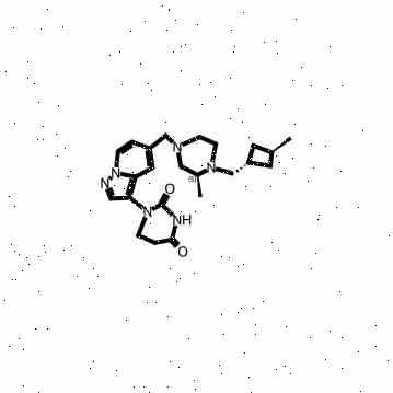 C[C@H]1CN(Cc2ccn3ncc(N4CCC(=O)NC4=O)c3c2)CCN1C[C@H]1C[C@H](C)C1